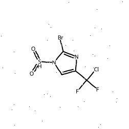 O=[SH](=O)n1cc(C(F)(F)Cl)nc1Br